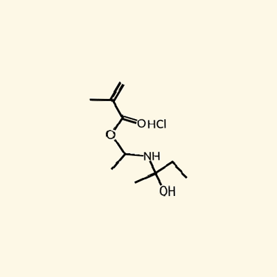 C=C(C)C(=O)OC(C)NC(C)(O)CC.Cl